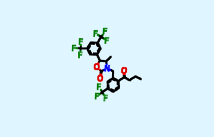 CCCC(=O)c1ccc(C(F)(F)F)cc1CN1C(=O)OC(c2cc(C(F)(F)F)cc(C(F)(F)F)c2)C1C